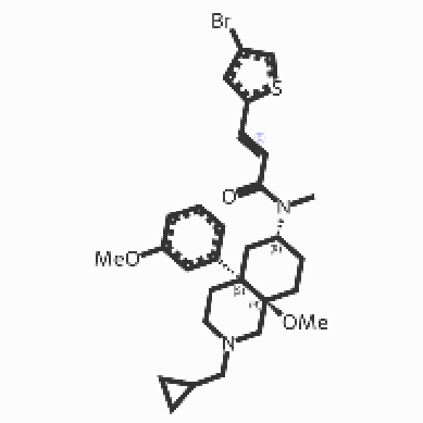 COc1cccc([C@@]23CCN(CC4CC4)C[C@@]2(OC)CC[C@@H](N(C)C(=O)/C=C/c2cc(Br)cs2)C3)c1